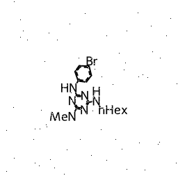 CCCCCCNc1nc(NC)nc(Nc2ccc(Br)cc2)n1